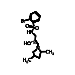 CC1CC(C)N(C[C@H](O)CNS(=O)(=O)c2ccccc2Br)C1